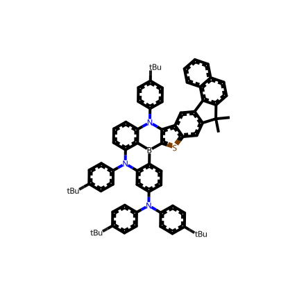 CC(C)(C)c1ccc(N(c2ccc(C(C)(C)C)cc2)c2ccc3c(c2)N(c2ccc(C(C)(C)C)cc2)c2cccc4c2B3c2sc3cc5c(cc3c2N4c2ccc(C(C)(C)C)cc2)-c2c(ccc3ccccc23)C5(C)C)cc1